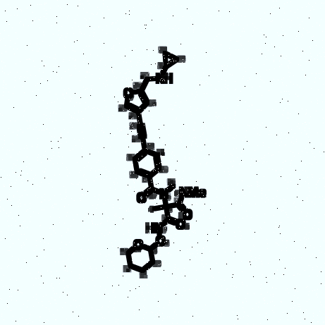 CNC(=O)C(C)(C(=O)NOC1CCCCO1)N(C)C(=O)c1ccc(C#Cc2coc(CNC3CC3)c2)cc1